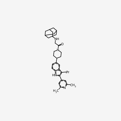 Cc1cc(-c2[nH]c3ccc(C4CCN(C(=O)CNC56CC7CC(CC(C7)C5)C6)CC4)cc3c2C(C)C)cc(C)n1